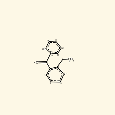 CCc1ncccc1C(=O)c1ccccn1